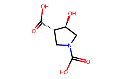 O=C(O)[C@H]1CN(C(=O)O)C[C@@H]1O